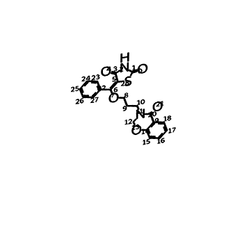 O=C1NC(=O)C(=C(OCCCN2COc3ccccc3C2=O)c2ccccc2)S1